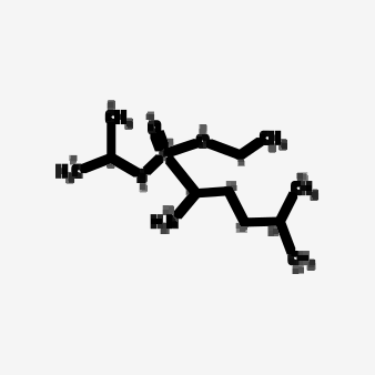 CCOP(=O)(SC(C)C)C(N)CCC(C)C